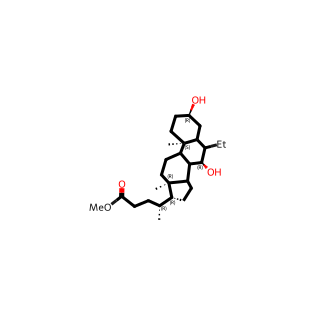 CCC1C2C[C@H](O)CC[C@]2(C)C2CC[C@@]3(C)C(CC[C@@H]3[C@H](C)CCC(=O)OC)C2[C@@H]1O